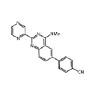 CNc1nc(-c2cnccn2)nc2ccc(-c3ccc(C#N)cc3)cc12